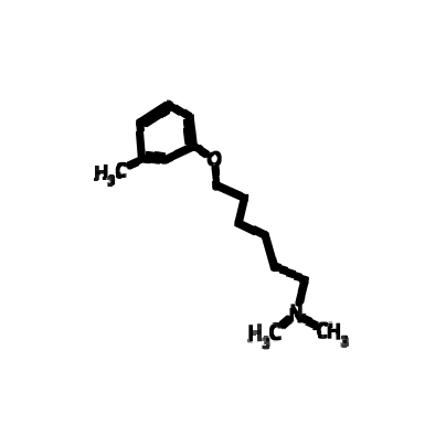 Cc1cccc(OCCCCCCN(C)C)c1